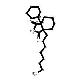 CCCCCCCCC12CCCCC1(C1CCCCC1)C(=O)NC2=O